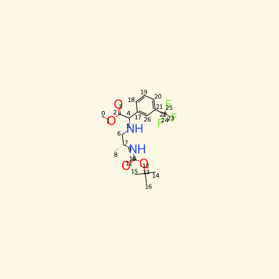 COC(=O)C(NC[C@@H](C)NC(=O)OC(C)(C)C)c1cccc(C(F)(F)F)c1